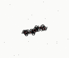 CC1CCCC2(C1)OC(=O)C(=C/C=C/C=C/C1=C(O)OC3(CCC4(CC3)OC(=O)C(=C/C=C/C=C/C3=C(O)OC5(CCCC(C)C5)OC3=O)C(=O)O4)OC1=O)C(=O)O2